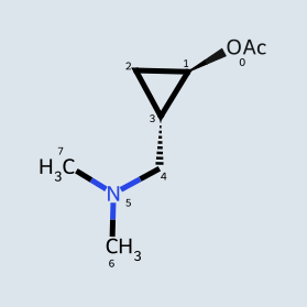 CC(=O)O[C@@H]1C[C@H]1CN(C)C